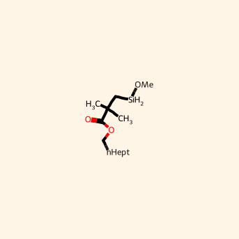 CCCCCCCCOC(=O)C(C)(C)C[SiH2]OC